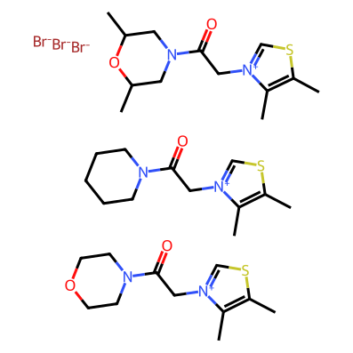 Cc1sc[n+](CC(=O)N2CC(C)OC(C)C2)c1C.Cc1sc[n+](CC(=O)N2CCCCC2)c1C.Cc1sc[n+](CC(=O)N2CCOCC2)c1C.[Br-].[Br-].[Br-]